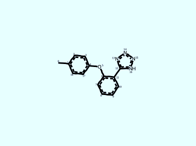 Cc1ccc(Oc2ccccc2-c2nnn[nH]2)cc1